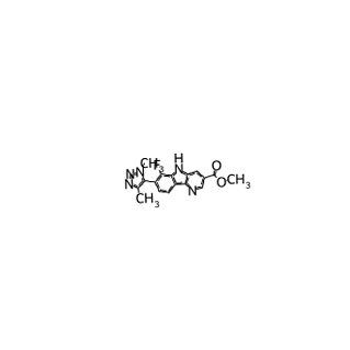 COC(=O)c1cnc2c(c1)[nH]c1c(F)c(-c3c(C)nnn3C)ccc12